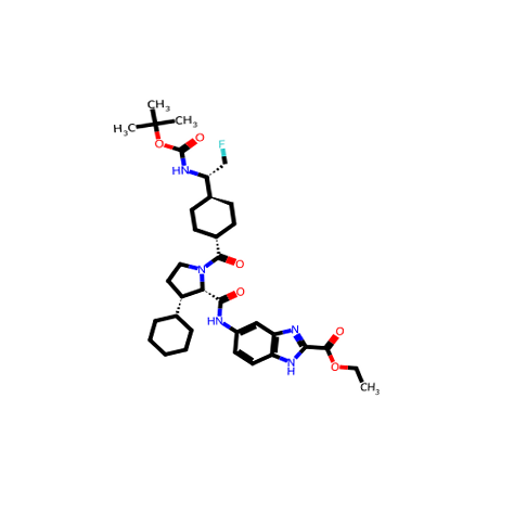 CCOC(=O)c1nc2cc(NC(=O)[C@@H]3[C@H](C4CCCCC4)CCN3C(=O)[C@H]3CC[C@H]([C@@H](CF)NC(=O)OC(C)(C)C)CC3)ccc2[nH]1